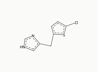 Clc1ccc(Cc2c[nH]cn2)s1